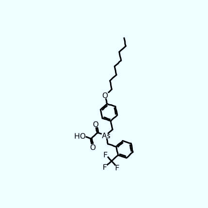 CCCCCCCCOc1ccc(C[As](Cc2ccccc2C(F)(F)F)C(=O)C(=O)O)cc1